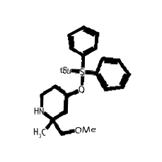 COCC1(C)CC(O[Si](c2ccccc2)(c2ccccc2)C(C)(C)C)CCN1